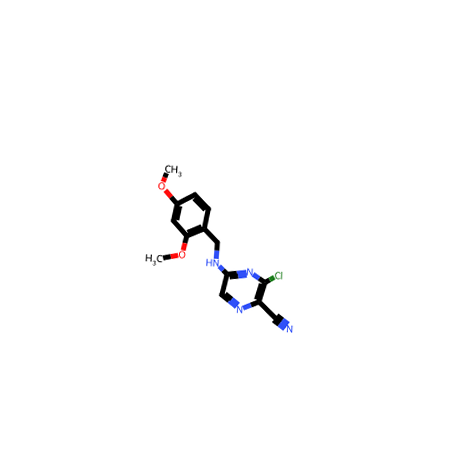 COc1ccc(CNc2cnc(C#N)c(Cl)n2)c(OC)c1